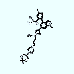 CCN(C(=O)c1cc(F)ccc1-c1cc(C2CN([C@H](CCCN3CCN(C4COC(C)(C)OC4)CC3)C(C)C)C2)cc2c1cnn2C)C(C)C